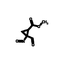 COC(=O)C1CC1(C=O)N=O